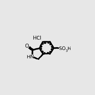 Cl.O=C1NCc2cc(S(=O)(=O)O)ccc21